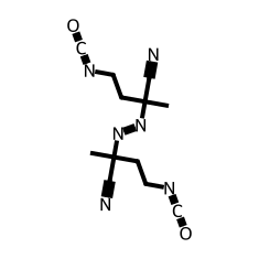 CC(C#N)(CCN=C=O)/N=N/C(C)(C#N)CCN=C=O